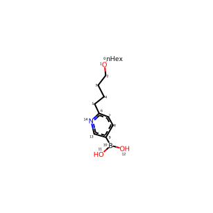 CCCCCCOCCCCc1ccc(B(O)O)cn1